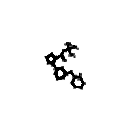 CC(C)(C)OC(=O)n1cccc1-c1cccc(C[C@@H]2CCCCN2)c1